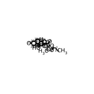 CCCC(=O)OCC(=O)[C@@]1(OCOC)CC[C@H]2[C@@H]3CCC4=CC(=O)C=C[C@]4(C)[C@H]3C(O)C[C@@]21C